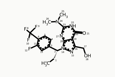 CC[C@H](c1ccc(C(F)(F)F)c(F)c1)n1nc(CO)c2c(=O)[nH]c(N(C)C)nc21